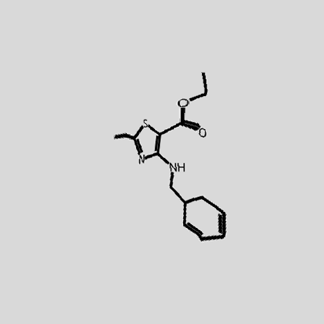 CCOC(=O)c1sc(C)nc1NCC1C=CC=CC1